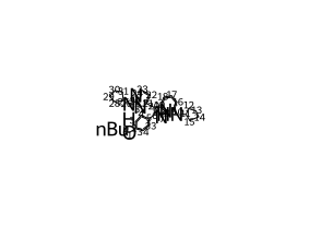 CCCCOc1ccc(-c2nn3c(NC4CCCC4)cccc3c2-c2ccnc(NC3CCCC3)n2)cc1